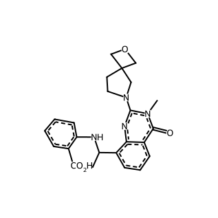 CC(Nc1ccccc1C(=O)O)c1cccc2c(=O)n(C)c(N3CCC4(COC4)C3)nc12